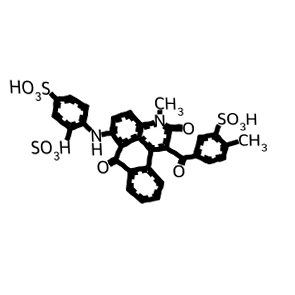 Cc1ccc(C(=O)c2c3c4c(c(Nc5ccc(S(=O)(=O)O)cc5S(=O)(=O)O)ccc4n(C)c2=O)C(=O)c2ccccc2-3)cc1S(=O)(=O)O